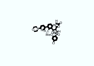 COc1cc(Cl)ccc1S(=O)(=O)NC(c1n[nH]c(=O)o1)C(C)c1c(F)ccc(-c2ccc(N3CCOCC3)nc2)c1C